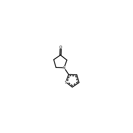 O=C1CCN(c2cccs2)C1